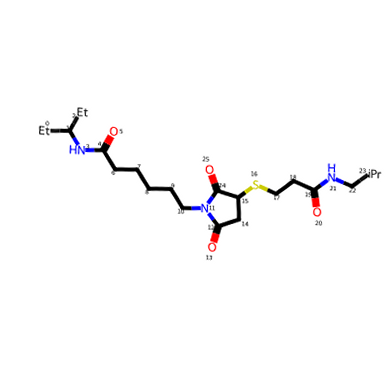 CCC(CC)NC(=O)CCCCCN1C(=O)CC(SCCC(=O)NCC(C)C)C1=O